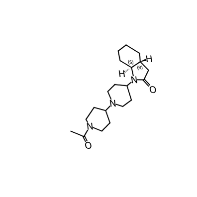 CC(=O)N1CCC(N2CCC(N3C(=O)C[C@H]4CCCC[C@@H]43)CC2)CC1